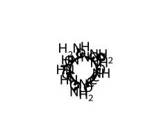 CC(C)C[C@@H]1NC(=O)CNC(=O)[C@H](CCN)NC(=O)CCCNC(=O)[C@H](Cc2ccccc2)NC(=O)[C@H](CN)NC(=O)[C@H](CCN)NC1=O